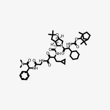 CN(C)C(=O)C(NC(=O)CNC(=O)C(=O)C(CC1CC1)NC(=O)[C@@H]1[C@H]2CC(C)(C)O[C@H]2CN1C(=O)[C@@H](NC(=O)OC1C2(C)CCC(C2)C1(C)C)C1CCCCC1)c1ccccc1